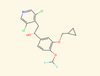 O[C@H](Cc1c(Cl)cncc1Cl)c1ccc(OC(F)F)c(OCC2CC2)c1